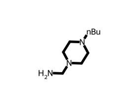 CCCCN1CCN(CN)CC1